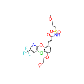 COCCCS(=O)(=O)NC(=O)C=Cc1ccc(OCCOC)cc1Oc1ncc(C(F)(F)F)cc1Cl